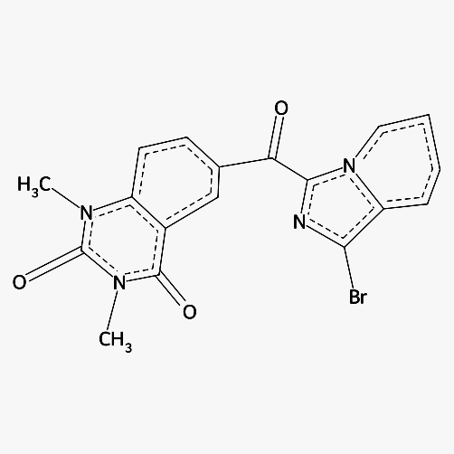 Cn1c(=O)c2cc(C(=O)c3nc(Br)c4ccccn34)ccc2n(C)c1=O